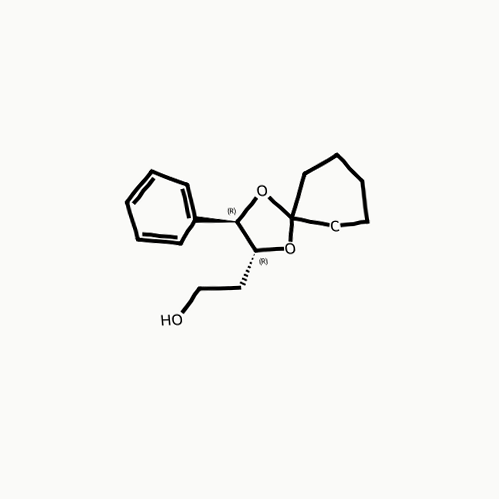 OCC[C@H]1OC2(CCCCC2)O[C@@H]1c1ccccc1